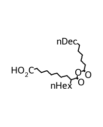 CCCCCCCCCCCCCCCC(=O)OC(=O)C(CCCCCC)CCCCCCCC(=O)O